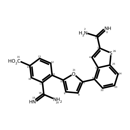 N=C(N)c1cc2c(-c3ccc(-c4ccc(C(=O)O)cc4C(=N)N)o3)cccc2s1